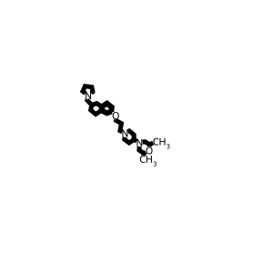 CC1CN(C2CCN(CCCOc3ccc4c(c3)CCC(CN3CCCC3)C4)CC2)CC(C)O1